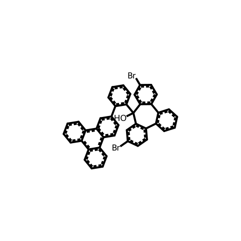 OC1(c2ccccc2-c2ccc3c4ccccc4c4ccccc4c3c2)c2cc(Br)ccc2-c2ccccc2-c2ccc(Br)cc21